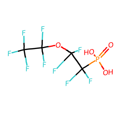 O=P(O)(O)C(F)(F)C(F)(F)OC(F)(F)C(F)(F)F